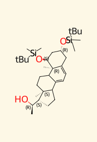 C[C@@H](O)[C@H]1CCC2C3=CC=C4C[C@@H](O[Si](C)(C)C(C)(C)C)C[C@H](O[Si](C)(C)C(C)(C)C)[C@]4(C)C3CC[C@@]21C